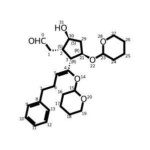 O=CC[C@H]1[C@@H](C(=CCCc2ccccc2)OC2CCCCO2)[C@H](OC2CCCCO2)C[C@@H]1O